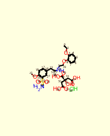 CCOc1ccccc1OCCN[C@H](C)Cc1ccc(OC)c(S(N)(=O)=O)c1.Cl.O=C(O)CC(O)(CC(=O)O)C(=O)O